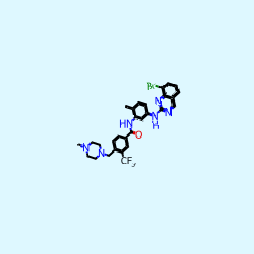 Cc1ccc(Nc2ncc3cccc(Br)c3n2)cc1NC(=O)c1ccc(CN2CCN(C)CC2)c(C(F)(F)F)c1